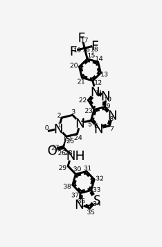 CN1CCN(c2ncnc3nn(-c4ccc(C(F)(F)F)cc4)cc23)C[C@H]1C(=O)NCc1ccc2scnc2c1